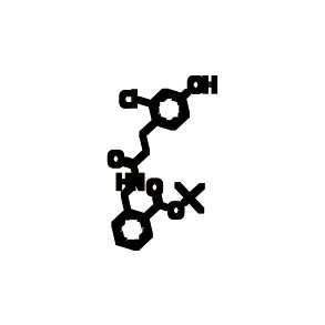 CC(C)(C)OC(=O)c1ccccc1CNC(=O)CCc1ccc(O)cc1Cl